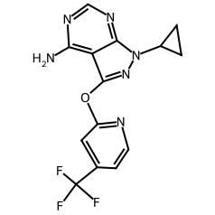 Nc1ncnc2c1c(Oc1cc(C(F)(F)F)ccn1)nn2C1CC1